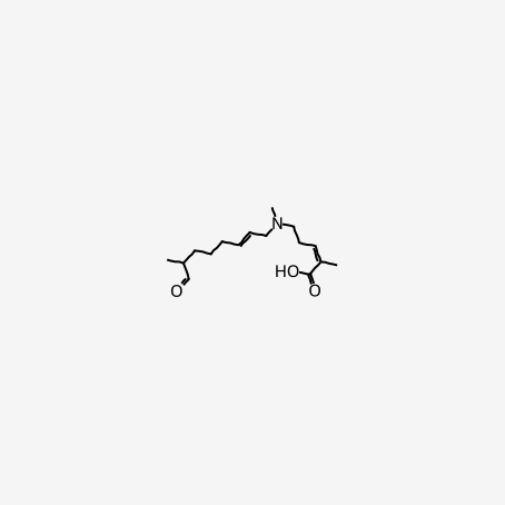 CC(=CCCN(C)CC=CCCCC(C)C=O)C(=O)O